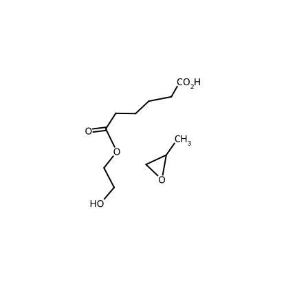 CC1CO1.O=C(O)CCCCC(=O)OCCO